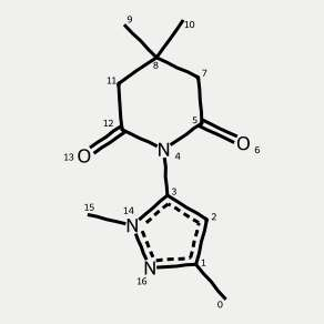 Cc1cc(N2C(=O)CC(C)(C)CC2=O)n(C)n1